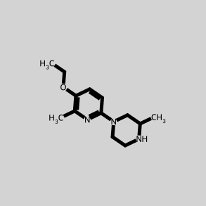 CCOc1ccc(N2CCNC(C)C2)nc1C